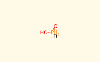 O=[PH2]O.[Ti]